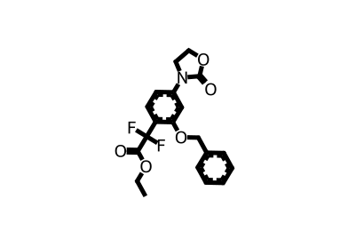 CCOC(=O)C(F)(F)c1ccc(N2CCOC2=O)cc1OCc1ccccc1